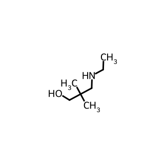 CCNCC(C)(C)CO